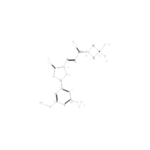 O=C1CC(c2cc(CF)cc(C(F)(F)F)c2)CN1/C=C/C(=O)N1CC(F)(F)C1